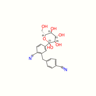 N#Cc1ccc(Cc2cc([C@]3(O)O[C@H](CO)[C@@H](O)[C@H](O)[C@H]3O)ccc2C#N)cc1